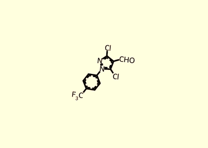 O=Cc1c(Cl)nn(-c2ccc(C(F)(F)F)cc2)c1Cl